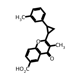 Cc1cccc(C2CC2c2oc3ccc(C(=O)O)cc3c(=O)c2C)c1